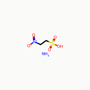 N.O=[N+]([O-])CCS(=O)(=O)O